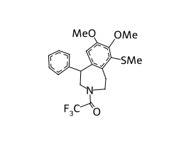 COc1cc2c(c(SC)c1OC)CCN(C(=O)C(F)(F)F)CC2c1ccccc1